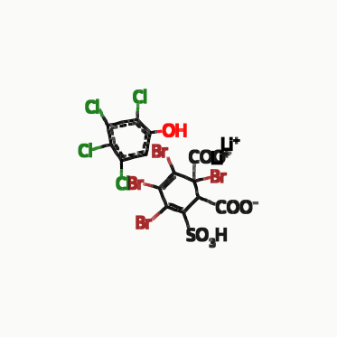 O=C([O-])C1C(S(=O)(=O)O)=C(Br)C(Br)=C(Br)C1(Br)C(=O)[O-].Oc1cc(Cl)c(Cl)c(Cl)c1Cl.[Li+].[Li+]